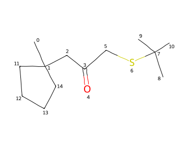 CC1(CC(=O)CSC(C)(C)C)CCCC1